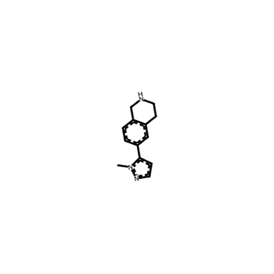 Cn1nccc1-c1ccc2c(c1)CCNC2